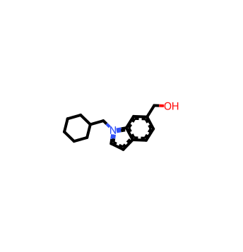 OCc1ccc2ccn(CC3CCCCC3)c2c1